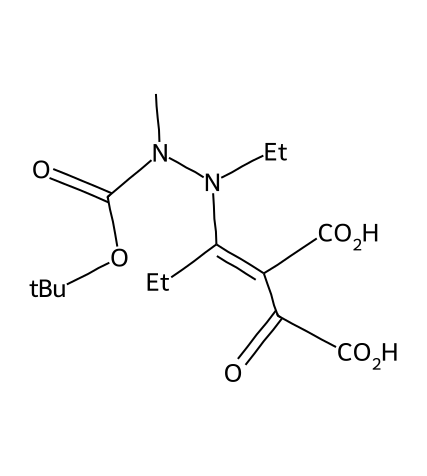 CCC(=C(C(=O)O)C(=O)C(=O)O)N(CC)N(C)C(=O)OC(C)(C)C